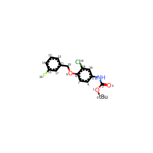 CC(C)(C)OC(=O)Nc1ccc(OCc2cccc(F)c2)c(Cl)c1